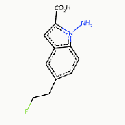 Nn1c(C(=O)O)cc2cc(CCF)ccc21